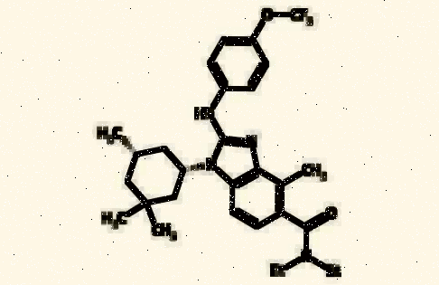 CCN(CC)C(=O)c1ccc2c(nc(Nc3ccc(OC(F)(F)F)cc3)n2[C@H]2C[C@@H](C)CC(C)(C)C2)c1C